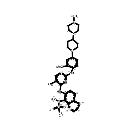 COc1cc(N2CCC(N3CCN(C)CC3)CC2)ccc1Nc1ncc(Cl)c(Nc2ccc3nccnc3c2N(C)S(=O)(=O)C(F)(F)F)n1